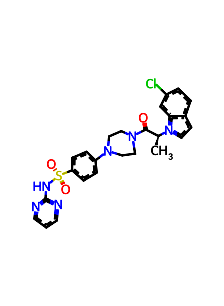 C[C@@H](C(=O)N1CCN(c2ccc(S(=O)(=O)Nc3ncccn3)cc2)CC1)n1ccc2ccc(Cl)cc21